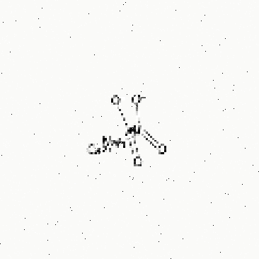 [Ca+2].[NaH].[O]=[Al][O-].[O]=[Al][O-]